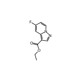 CCOC(=O)c1cnn2ccc(F)cc12